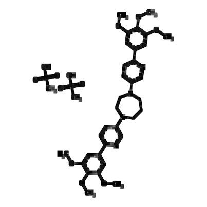 COc1cc(-c2ccc(N3CCCN(c4ccc(-c5cc(OC)c(OC)c(OC)c5)nc4)CC3)cn2)cc(OC)c1OC.CS(=O)(=O)O.CS(=O)(=O)O